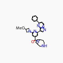 COC1CN(c2cc(C(=O)N3C4CCNCC3CC4)cc(-c3cnn4ccc(-c5ccccc5)nc34)n2)C1